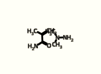 C=C(C)C(N)=O.CN(C)N